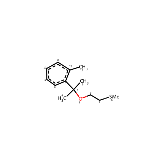 CSCCOC(C)(C)c1ccccc1C